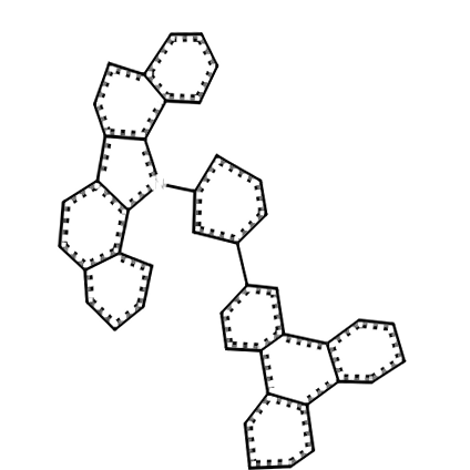 c1cc(-c2ccc3c4ccccc4c4ccccc4c3c2)cc(-n2c3c4ccccc4ccc3c3ccc4ccccc4c32)c1